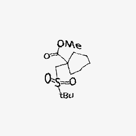 COC(=O)C1(CS(=O)(=O)C(C)(C)C)CCCCC1